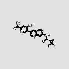 CCC(=O)c1cc(C)c(-c2cnc3cc(NC(=O)[C@H]4CC4(F)F)ncc3c2)cn1